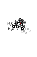 CCc1cc(C)cc(CC)c1Nc1ccc(C(c2ccc(Nc3c(CC)cc(C)cc3CC)cc2)c2ccccc2S(=O)(=O)O)cc1